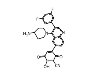 N#CC1=C(O)C(=O)C=C(c2ccc3ncc(-c4cc(F)cc(F)c4)c(N4CCC(N)CC4)c3c2)C1=O